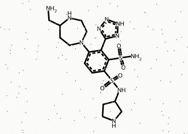 NCC1CCN(c2ccc(S(=O)(=O)NC3CCNC3)c(S(N)(=O)=O)c2-c2nn[nH]n2)CCN1